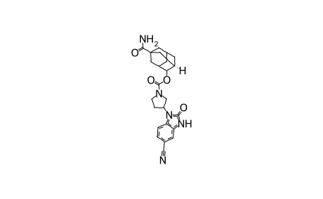 N#Cc1ccc2c(c1)[nH]c(=O)n2C1CCN(C(=O)OC2C3CC4C[C@@H]2CC(C(N)=O)(C4)C3)C1